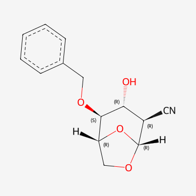 N#C[C@H]1[C@@H]2OC[C@@H](O2)[C@@H](OCc2ccccc2)[C@@H]1O